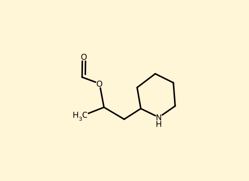 CC(CC1CCCCN1)OC=O